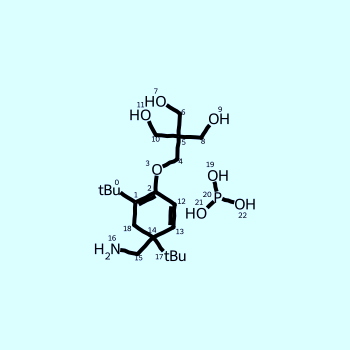 CC(C)(C)C1=C(OCC(CO)(CO)CO)C=CC(CN)(C(C)(C)C)C1.OP(O)O